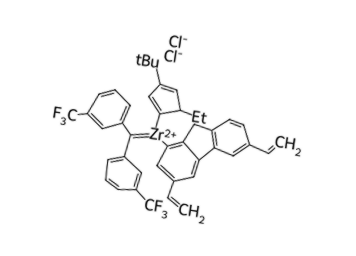 C=Cc1ccc2c(c1)-c1cc(C=C)c[c]([Zr+2]([C]3=CC(C(C)(C)C)=CC3CC)=[C](c3cccc(C(F)(F)F)c3)c3cccc(C(F)(F)F)c3)c1C2.[Cl-].[Cl-]